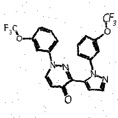 O=c1ccn(-c2cccc(OC(F)(F)F)c2)nc1-c1ccnn1-c1cccc(OC(F)(F)F)c1